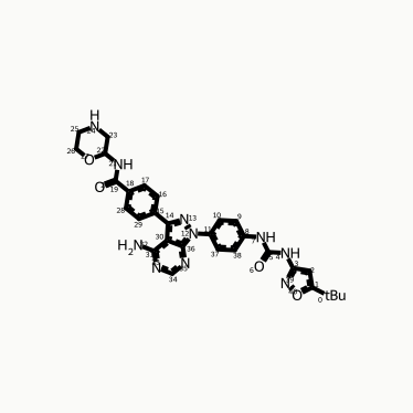 CC(C)(C)c1cc(NC(=O)Nc2ccc(-n3nc(-c4ccc(C(=O)NC5CNCCO5)cc4)c4c(N)ncnc43)cc2)no1